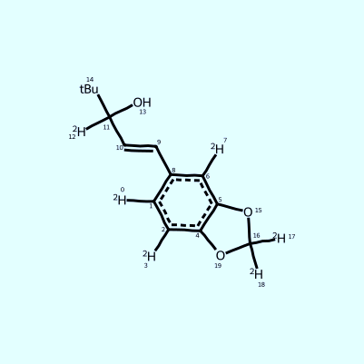 [2H]c1c([2H])c2c(c([2H])c1/C=C/C([2H])(O)C(C)(C)C)OC([2H])([2H])O2